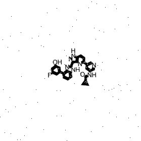 O=C(Nc1cncc(-c2ccc3[nH]nc(-c4nc5c(-c6cc(O)cc(F)c6)cccc5[nH]4)c3n2)c1)C1CC1